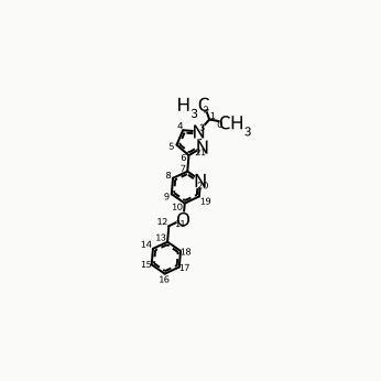 CC(C)n1ccc(-c2ccc(OCc3ccccc3)cn2)n1